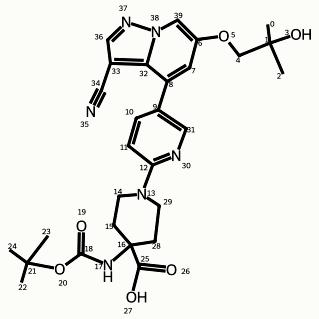 CC(C)(O)COc1cc(-c2ccc(N3CCC(NC(=O)OC(C)(C)C)(C(=O)O)CC3)nc2)c2c(C#N)cnn2c1